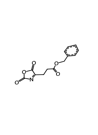 O=C(CCC1=NC(=O)OC1=O)OCc1ccccc1